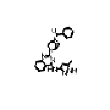 Cc1cc(Nc2nc(N3CC4CC3CN4C(=O)c3ccccc3)nc3ccccc23)n[nH]1